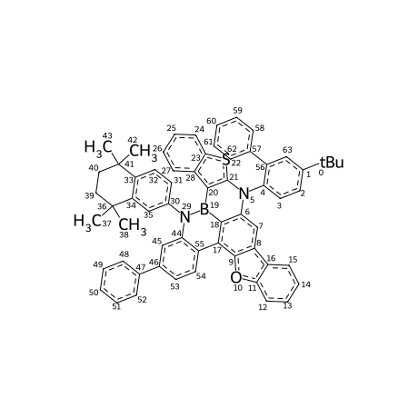 CC(C)(C)c1ccc(N2c3cc4c(oc5ccccc54)c4c3B(c3c2sc2ccccc32)N(c2ccc3c(c2)C(C)(C)CCC3(C)C)c2cc(-c3ccccc3)ccc2-4)c(-c2ccccc2)c1